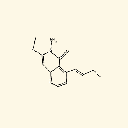 Bn1c(CC)cc2cccc(/C=C/CC)c2c1=O